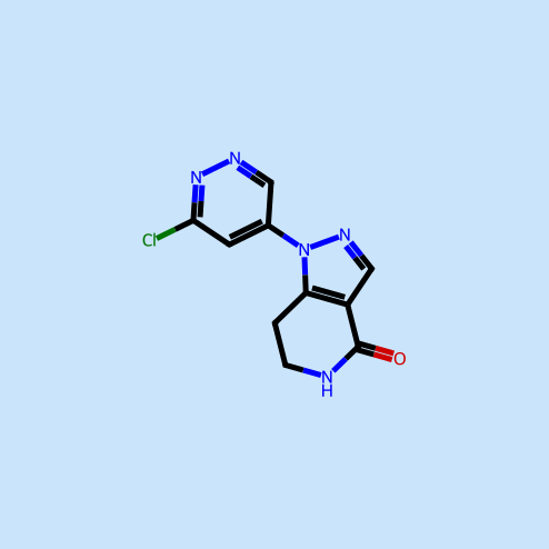 O=C1NCCc2c1cnn2-c1cnnc(Cl)c1